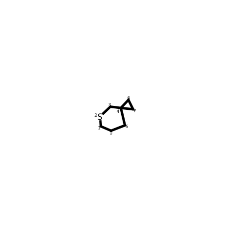 C1CSCC2(C1)CC2